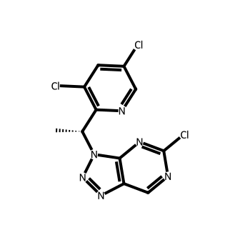 C[C@H](c1ncc(Cl)cc1Cl)n1nnc2cnc(Cl)nc21